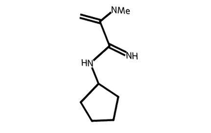 C=C(NC)C(=N)NC1CCCC1